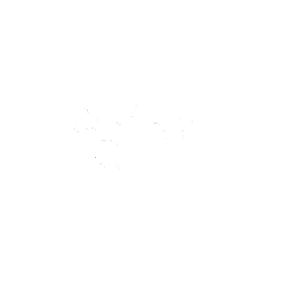 CCn1nc(-n2ncnc2[C@H](C)NC(=O)c2cc(Cl)cc(S(=O)(=O)C(F)(F)F)c2)ccc1=O